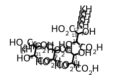 O=C(O)C(O)C(O)C(=O)O.O=C(O)C(O)C(O)C(=O)O.O=C(O)C(O)C(O)C(=O)O.O=C(O)C(O)C(O)C(=O)O.[KH].[KH].[KH].[KH].[KH]